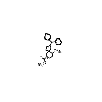 COC1CCN(C(=O)OC(C)(C)C)CC12CCN(C(c1ccccc1)c1ccccc1)C2